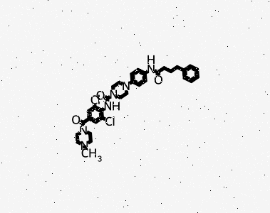 CN1CCN(C(=O)c2cc(Cl)c(NC(=O)N3CCN(c4ccc(NC(=O)CCCc5ccccc5)cc4)CC3)c(Cl)c2)CC1